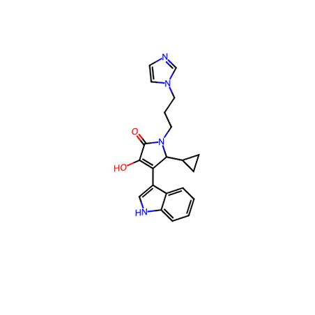 O=C1C(O)=C(c2c[nH]c3ccccc23)C(C2CC2)N1CCCn1ccnc1